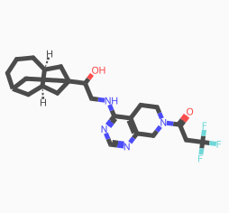 O=C(CC(F)(F)F)N1CCc2c(ncnc2NCC(O)C23CC4CCC[C@@H](C2)[C@H](C4)C3)C1